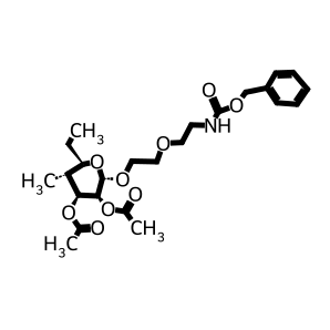 CC[C@H]1O[C@H](OCCOCCNC(=O)OCc2ccccc2)[C@@H](OC(C)=O)[C@@H](OC(C)=O)[C@@H]1C